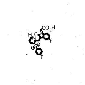 Cc1c(Cc2ncccc2S(=O)(=O)c2ccc(F)cc2)c2cc(F)ccc2n1CC(=O)O